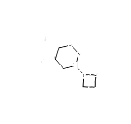 CC(C)[C@@H]1CCN(C2CCC2)C[C@@H]1C